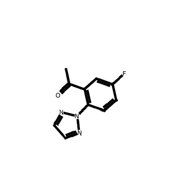 CC(=O)c1cc(F)ccc1-n1nccn1